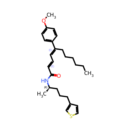 CCCCCC/C(=C\C=C\C(=O)N[C@H](C)CCCc1ccsc1)c1ccc(OC)cc1